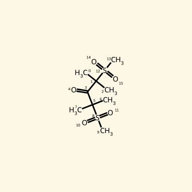 CC(C)(C(=O)C(C)(C)S(C)(=O)=O)S(C)(=O)=O